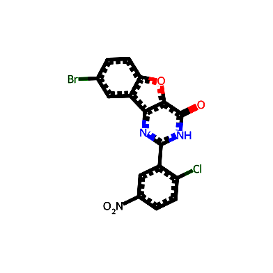 O=c1[nH]c(-c2cc([N+](=O)[O-])ccc2Cl)nc2c1oc1ccc(Br)cc12